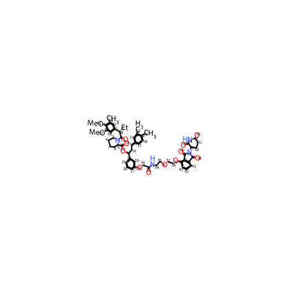 CC[C@H](C(=O)N1CCCCC1C(=O)OC(CCc1ccc(C)c(C)c1)c1cccc(OCC(=O)NCCOCCOc2cccc3c2C(=O)N(C2CCC(=O)NC2=O)C3=O)c1)c1cc(C)c(OC)c(OC)c1